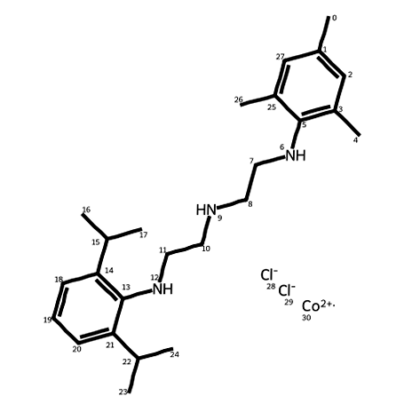 Cc1cc(C)c(NCCNCCNc2c(C(C)C)cccc2C(C)C)c(C)c1.[Cl-].[Cl-].[Co+2]